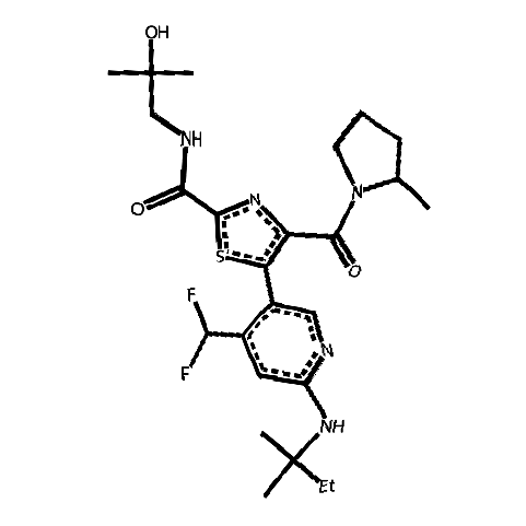 CCC(C)(C)Nc1cc(C(F)F)c(-c2sc(C(=O)NCC(C)(C)O)nc2C(=O)N2CCCC2C)cn1